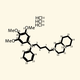 COc1cc(N(CCCCN2CCN3CCCCC3C2)c2ccccc2)cc(OC)c1OC.Cl.Cl.Cl